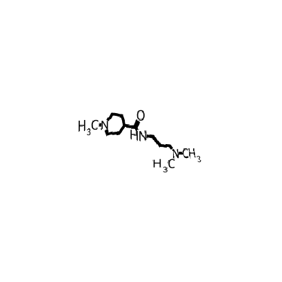 CN(C)CCCNC(=O)C1CCN(C)CC1